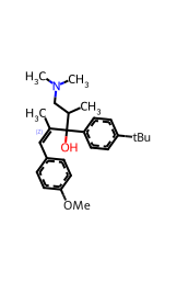 COc1ccc(/C=C(/C)C(O)(c2ccc(C(C)(C)C)cc2)C(C)CN(C)C)cc1